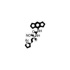 CC(=O)N1CCC[C@@H]1/C=C/S(=O)(=NC#N)NC(=O)Nc1c2c(cc3c1CCC3)CCC2